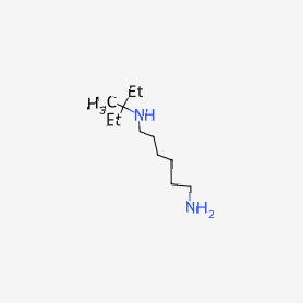 CCC(C)(CC)NCCCCCCN